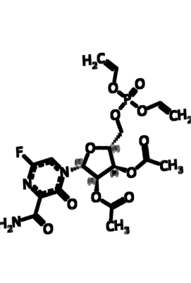 C=COP(=O)(OC=C)OC[C@H]1O[C@@H](n2cc(F)nc(C(N)=O)c2=O)[C@H](OC(C)=O)[C@@H]1OC(C)=O